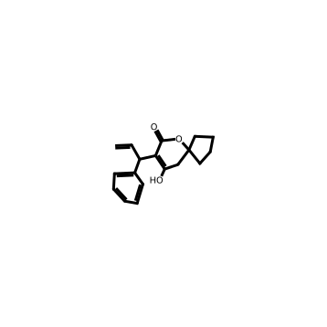 C=CC(C1=C(O)CC2(CCCC2)OC1=O)c1ccccc1